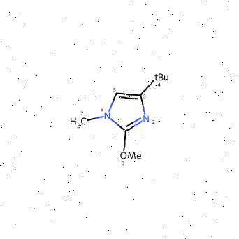 COc1nc(C(C)(C)C)cn1C